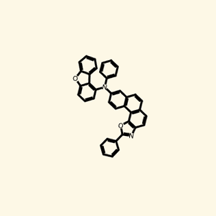 c1ccc(-c2nc3ccc4ccc5cc(N(c6ccccc6)c6cccc7oc8ccccc8c67)ccc5c4c3o2)cc1